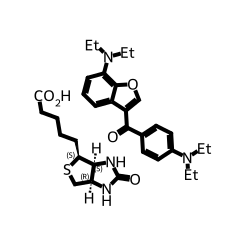 CCN(CC)c1ccc(C(=O)c2coc3c(N(CC)CC)cccc23)cc1.O=C(O)CCCC[C@@H]1SC[C@@H]2NC(=O)N[C@@H]21